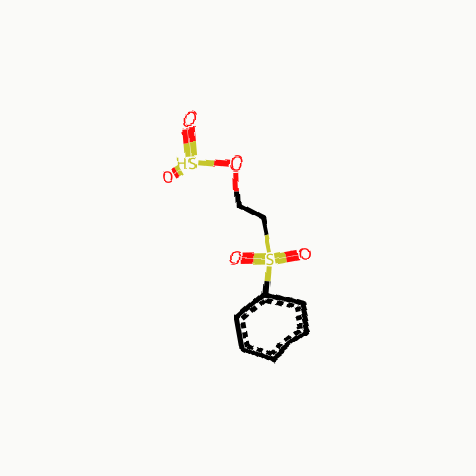 O=[SH](=O)OCCS(=O)(=O)c1cc[c]cc1